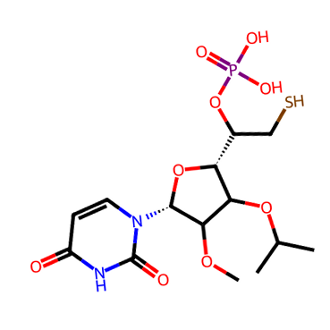 COC1C(OC(C)C)[C@@H](C(CS)OP(=O)(O)O)O[C@H]1n1ccc(=O)[nH]c1=O